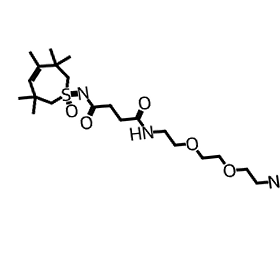 CC1=CC(C)(C)CS(=O)(=NC(=O)CCC(=O)NCCOCCOCCN)CC1(C)C